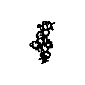 CC(C)[C@@H](C)[C@@]1(C)CC[C@]2(C)[C@H]3CC[C@@H]4[C@@]5(COC[C@]4(C)[C@@H](OCC(C)(C)N(C)C)[C@H](n4ncnc4-c4ccncc4)C5)C3=CC[C@@]2(C)[C@@H]1C(=O)O